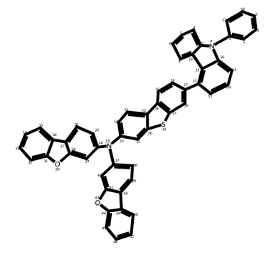 c1ccc(-n2c3ccccc3c3c(-c4ccc5c(c4)sc4cc(N(c6ccc7c(c6)oc6ccccc67)c6ccc7c(c6)oc6ccccc67)ccc45)cccc32)cc1